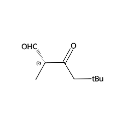 C[C@H](C=O)C(=O)CC(C)(C)C